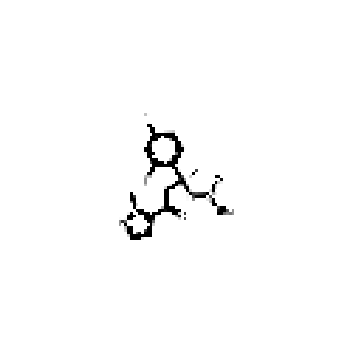 Cn1nccc1C(=O)C[C@](C)(N[S+]([O-])C(C)(C)C)c1ccc(F)cc1F